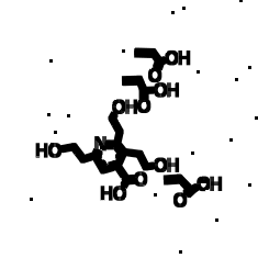 C=CC(=O)O.C=CC(=O)O.C=CC(=O)O.O=C(O)c1cc(CCO)nc(CCO)c1CCO